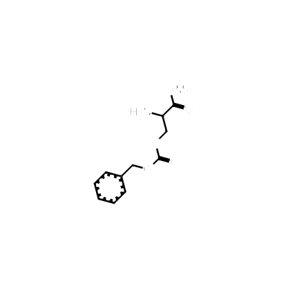 COC(=O)C(N)CSC(=O)OCc1ccccc1